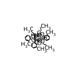 CCCOP1(Oc2ccccc2C)=N[PH](OCCC)(Oc2ccccc2C)N[PH](OCCC)(Oc2ccccc2C)N1